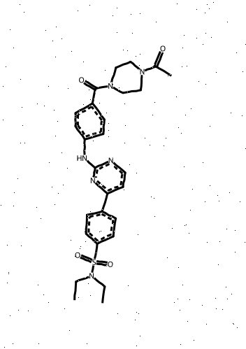 CCN(CC)S(=O)(=O)c1ccc(-c2ccnc(Nc3ccc(C(=O)N4CCN(C(C)=O)CC4)cc3)n2)cc1